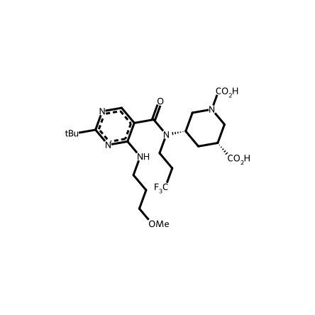 COCCCNc1nc(C(C)(C)C)ncc1C(=O)N(CCC(F)(F)F)[C@H]1C[C@@H](C(=O)O)CN(C(=O)O)C1